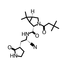 CC(C)(C)CC(=O)N1C[C@H]2C([C@H]1C(=O)N[C@H](C#N)C[C@@H]1CCNC1=O)C2(C)C